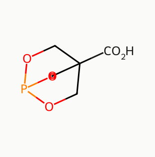 O=C(O)C12COP(OC1)OC2